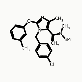 C=C(c1c(C)nc(Oc2cccc(C)c2)n1Cc1ccc(Cl)cc1)N(C)CCC